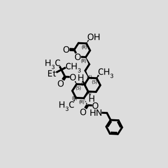 CCC(C)(C)C(=O)O[C@H]1C[C@@H](C)[C@@H](C(=O)ONCc2ccccc2)[C@@H]2CC[C@H](C)[C@H](CC[C@@H]3C[C@@H](O)CC(=O)O3)[C@H]21